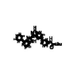 CC(C)(C)C(=O)Nc1cncc(-c2cnc3[nH]nc(-c4nc5c(-c6ccncc6)nccc5[nH]4)c3c2)c1